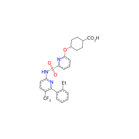 CCc1ccccc1-c1nc(NS(=O)(=O)c2cccc(OC3CCC(C(=O)O)CC3)n2)ccc1C(F)(F)F